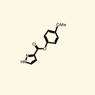 COc1ccc(OC(=O)c2cc[nH]n2)cc1